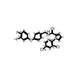 O=C(NCc1ccc(Oc2ccc(F)c(F)c2)cc1)c1cccn1-c1ncc(Cl)cc1Cl